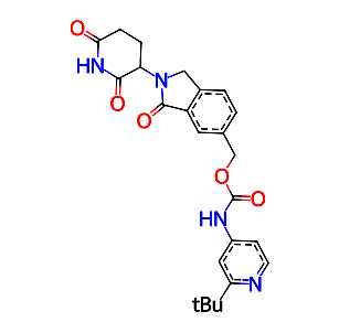 CC(C)(C)c1cc(NC(=O)OCc2ccc3c(c2)C(=O)N(C2CCC(=O)NC2=O)C3)ccn1